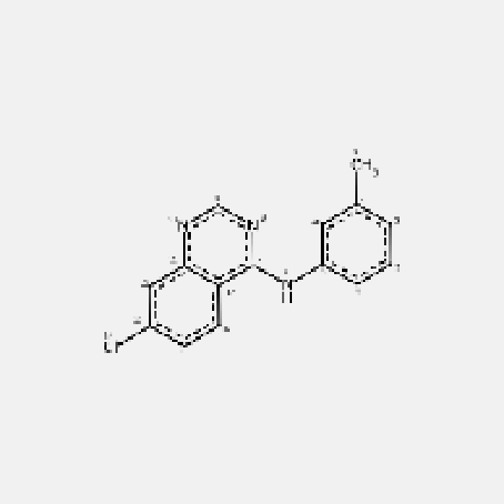 Cc1cccc(Nc2ncnc3cc(Cl)ccc23)c1